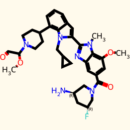 COc1cc(C(=O)N2C[C@H](N)C[C@@H](F)C2)cc2nc(-c3cc4cccc(C5CCN(C(C=O)OC)CC5)c4n3CC3CC3)n(C)c12